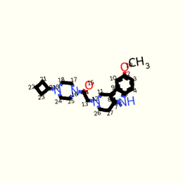 COc1ccc2[nH]c3c(c2c1)CN(CC(=O)N1CCN(C2CCC2)CC1)CC3